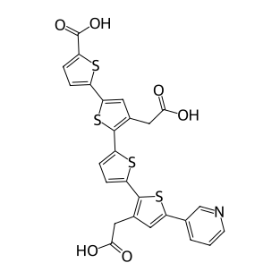 O=C(O)Cc1cc(-c2cccnc2)sc1-c1ccc(-c2sc(-c3ccc(C(=O)O)s3)cc2CC(=O)O)s1